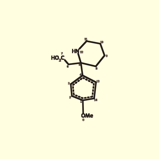 COc1ccc(C2(CC(=O)O)CCCCN2)cc1